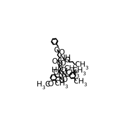 CCCCOC(=O)NC(CC(=O)OCc1ccccc1)C(=O)OCOC(=O)N(C(=O)c1cccc(OC)c1C)N(C(=O)c1cc(C)cc(C)c1)C(C)(C)C